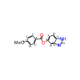 COc1ccc(C(=O)Oc2ccc3[nH]cnc3c2)cc1